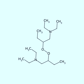 CCC(CN(CC)CC)OOC(CC)CN(CC)CC